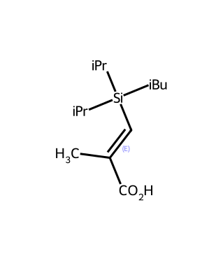 CCC(C)[Si](/C=C(\C)C(=O)O)(C(C)C)C(C)C